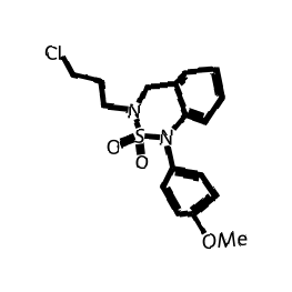 COc1ccc(N2c3ccccc3CN(CCCCl)S2(=O)=O)cc1